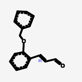 O=C/C=C/c1ccccc1OCc1ccccc1